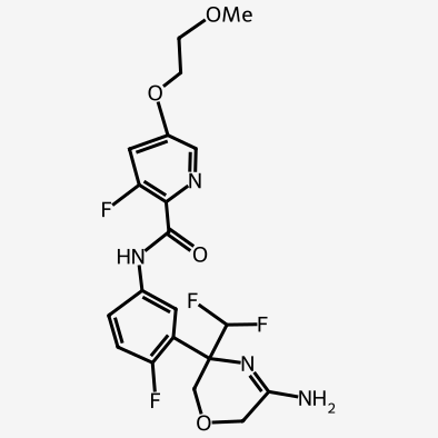 COCCOc1cnc(C(=O)Nc2ccc(F)c(C3(C(F)F)COCC(N)=N3)c2)c(F)c1